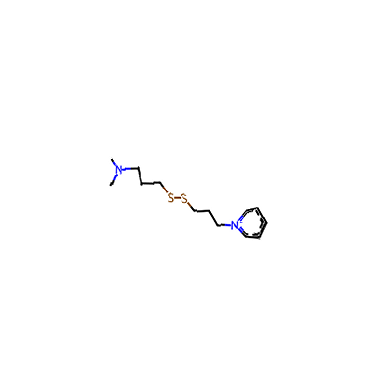 CN(C)CCCSSCCC[n+]1ccccc1